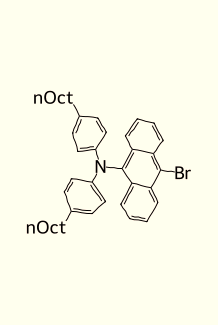 CCCCCCCCc1ccc(N(c2ccc(CCCCCCCC)cc2)c2c3ccccc3c(Br)c3ccccc23)cc1